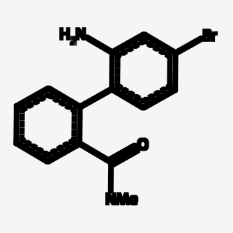 CNC(=O)c1ccccc1-c1ccc(Br)cc1N